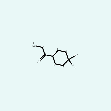 CC(=O)CC(=O)C1CCC(F)(F)CC1